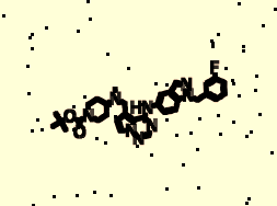 CN(Cc1ccn2ncnc(Nc3ccc4c(cnn4Cc4cccc(F)c4)c3)c12)C1CCN(C(=O)OC(C)(C)C)CC1